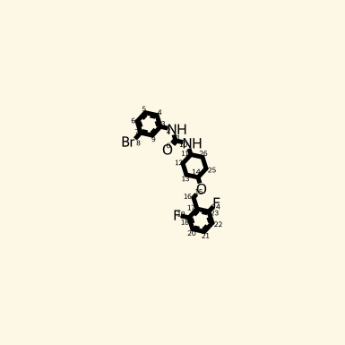 O=C(Nc1cccc(Br)c1)NC1CCC(OCc2c(F)cccc2F)CC1